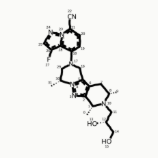 C[C@@H]1c2nn3c(c2C[C@H](C)N1C[C@@H](O)CO)CN(c1ccc(C#N)n2ncc(F)c12)C[C@H]3C